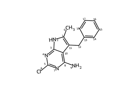 Cc1[nH]c2nc(Cl)nc(N)c2c1Cc1ccccc1